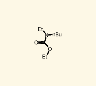 CCCCN(CC)C(=O)OCC